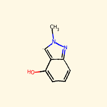 Cn1[c]c2c(O)cccc2n1